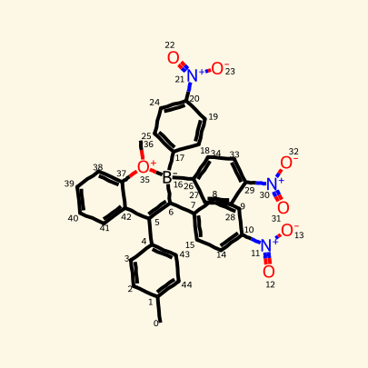 Cc1ccc(C2=C(c3ccc([N+](=O)[O-])cc3)[B-](c3ccc([N+](=O)[O-])cc3)(c3ccc([N+](=O)[O-])cc3)[O+](C)c3ccccc32)cc1